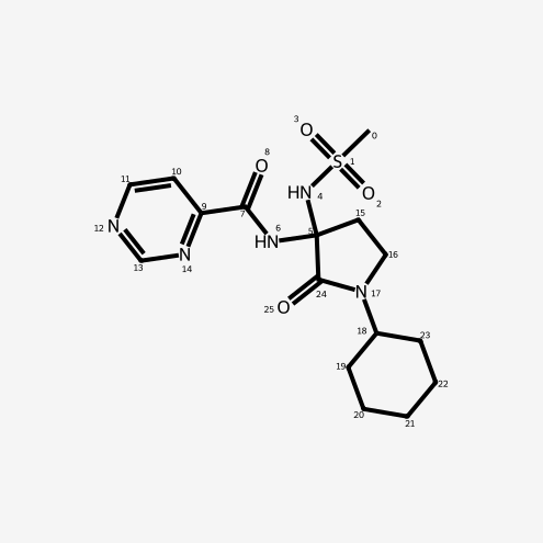 CS(=O)(=O)NC1(NC(=O)c2ccncn2)CCN(C2CCCCC2)C1=O